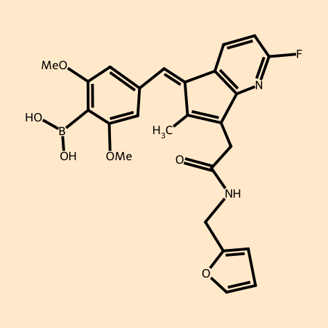 COc1cc(C=C2C(C)=C(CC(=O)NCc3ccco3)c3nc(F)ccc32)cc(OC)c1B(O)O